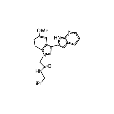 COC1=Cc2c(-c3cc4cccnc4[nH]3)cn(CC(=O)NCC(C)C)c2CC1